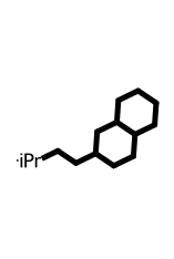 C[C](C)CCC1CCC2CCCCC2C1